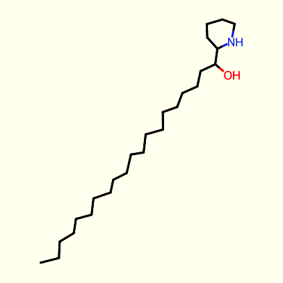 CCCCCCCCCCCCCCCCCCCC(O)C1CCCCN1